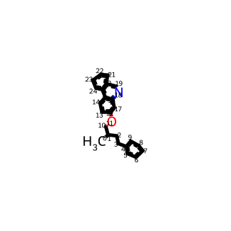 CC(CCc1ccccc1)COc1ccc2c(c1)ncc1ccccc12